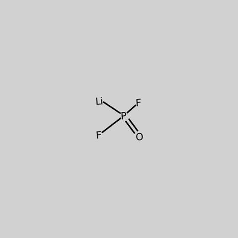 [Li][P](=O)(F)F